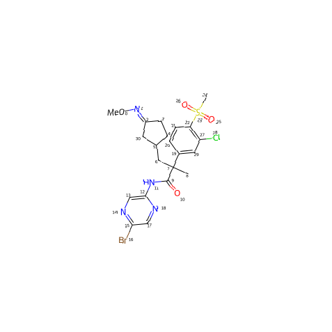 CO/N=C1/CCC(CC(C)(C(=O)Nc2cnc(Br)cn2)c2ccc(S(C)(=O)=O)c(Cl)c2)C1